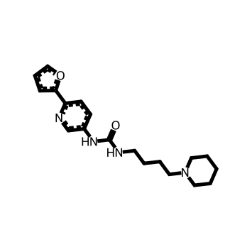 O=C(NCCCCN1CCCCC1)Nc1ccc(-c2ccco2)nc1